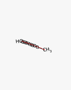 CCCCCCCCCCCCCOCCCCOCCOCCOCCOCCOCCOCCOCCOCCO